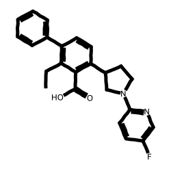 CCc1c(-c2ccccc2)ccc(C2CCN(c3ccc(F)cn3)C2)c1C(=O)O